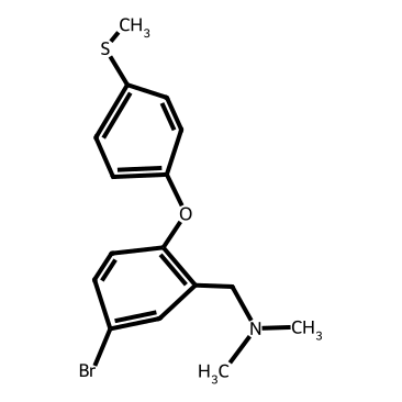 CSc1ccc(Oc2ccc(Br)cc2CN(C)C)cc1